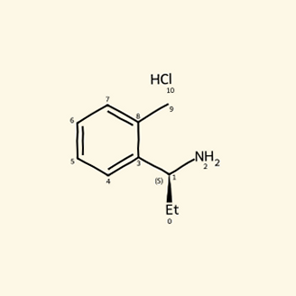 CC[C@H](N)c1ccccc1C.Cl